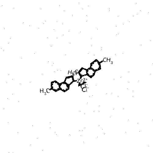 CC1=Cc2c(ccc3cc(C)ccc23)[CH]1[Zr+2]1([CH]2C(C)=Cc3c2ccc2cc(C)ccc32)[CH2][CH2]1.[Cl-].[Cl-]